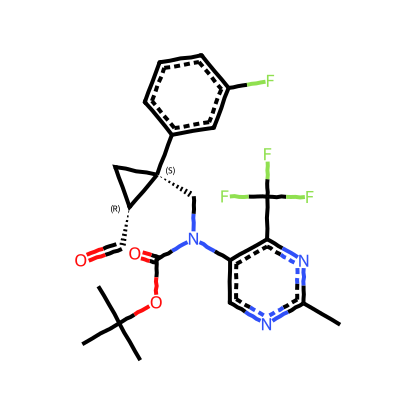 Cc1ncc(N(C[C@@]2(c3cccc(F)c3)C[C@H]2C=O)C(=O)OC(C)(C)C)c(C(F)(F)F)n1